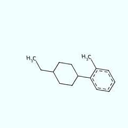 CCC1CCC(c2ccccc2C)CC1